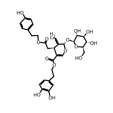 C/C=C1/[C@H](O[C@@H]2O[C@H](CO)[C@@H](O)[C@H](O)[C@H]2O)OC=C(C(=O)OCCc2ccc(O)c(O)c2)[C@H]1CC(=O)OCCc1ccc(O)cc1